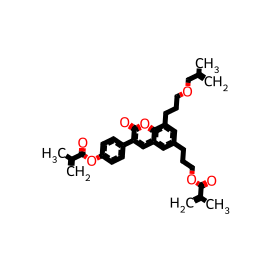 C=C(C)COCCCc1cc(CCCOC(=O)C(=C)C)cc2cc(-c3ccc(OC(=O)C(=C)C)cc3)c(=O)oc12